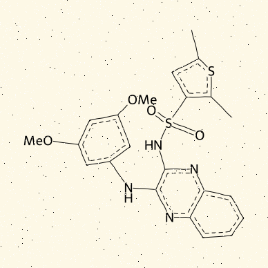 COc1cc(Nc2nc3ccccc3nc2NS(=O)(=O)c2cc(C)sc2C)cc(OC)c1